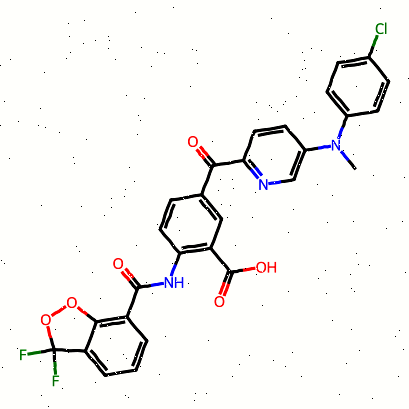 CN(c1ccc(Cl)cc1)c1ccc(C(=O)c2ccc(NC(=O)c3cccc4c3OOC4(F)F)c(C(=O)O)c2)nc1